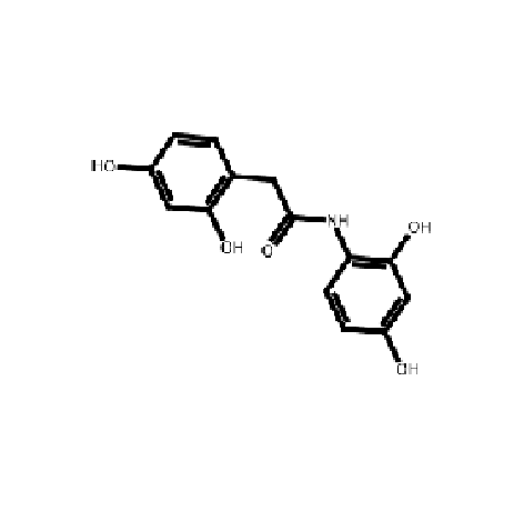 O=C(Cc1ccc(O)cc1O)Nc1ccc(O)cc1O